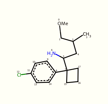 COCC(C)CC(N)C1(c2ccc(Cl)cc2)CCC1